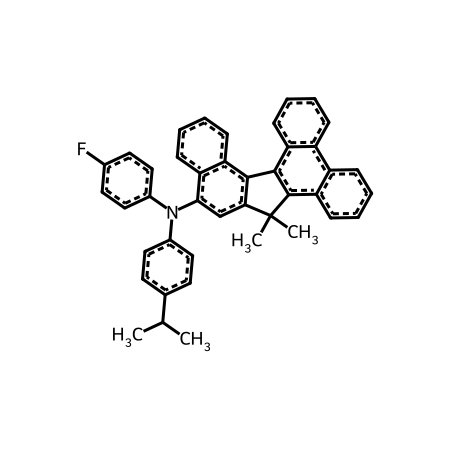 CC(C)c1ccc(N(c2ccc(F)cc2)c2cc3c(c4ccccc24)-c2c(c4ccccc4c4ccccc24)C3(C)C)cc1